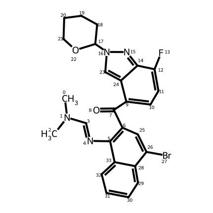 CN(C)/C=N/c1c(C(=O)c2ccc(F)c3nn(C4CCCCO4)cc23)cc(Br)c2ccccc12